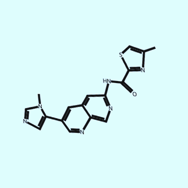 Cc1csc(C(=O)Nc2cc3cc(-c4cncn4C)cnc3cn2)n1